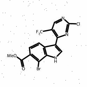 COC(=O)c1ccc2c(-c3nc(Cl)ncc3C(F)(F)F)c[nH]c2c1Br